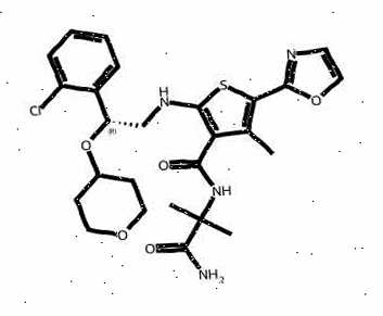 Cc1c(-c2ncco2)sc(NC[C@H](OC2CCOCC2)c2ccccc2Cl)c1C(=O)NC(C)(C)C(N)=O